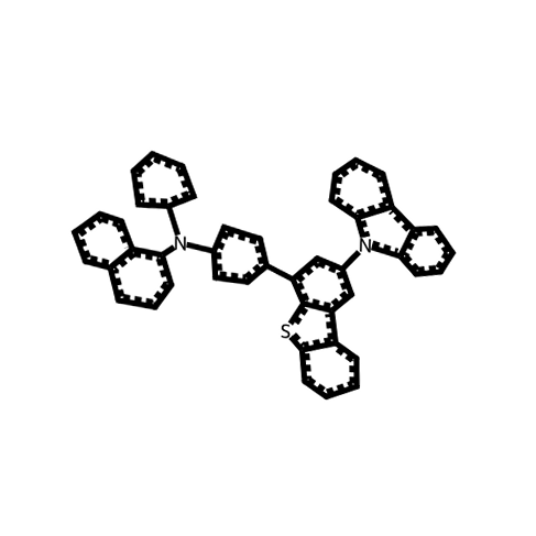 c1ccc(N(c2ccc(-c3cc(-n4c5ccccc5c5ccccc54)cc4c3sc3ccccc34)cc2)c2cccc3ccccc23)cc1